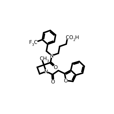 CC1(C(=O)N(CCCC(=O)O)Cc2ccccc2C(F)(F)F)CCN1C(=O)Cc1occ2ccccc12